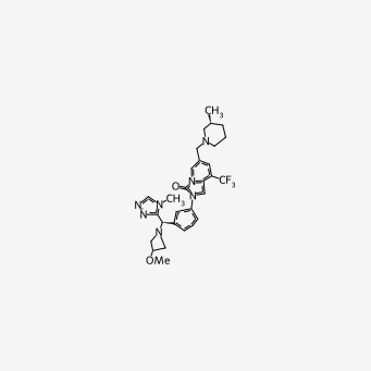 COC1CN([C@H](c2cccc(-n3cc4c(C(F)(F)F)cc(CN5CCC[C@H](C)C5)cn4c3=O)c2)c2nncn2C)C1